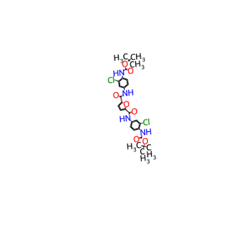 CC(C)(C)OC(=O)Nc1ccc(NC(=O)c2ccc(C(=O)Nc3ccc(NC(=O)OC(C)(C)C)c(Cl)c3)o2)cc1Cl